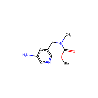 CN(Cc1cncc(N)c1)C(=O)OC(C)(C)C